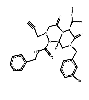 C#CCN1CC(=O)N2[C@@H](C(C)CC)C(=O)N(Cc3cccc(Br)c3)C[C@@H]2N1C(=O)NCc1ccccc1